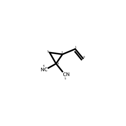 C=CC1CC1(C#N)C#N